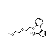 Bc1sccc1-c1ccccc1OCCOCCOC